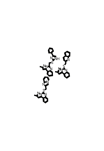 Cc1cc2c3ccccc3nc(CSc3nc(-c4ccccc4)c[nH]3)n2n1.Cc1cc2c3ccccc3nc(SCc3ccc4ccccc4n3)n2n1.Cc1cc2c3ccccc3nc(SCc3cn4ccccc4n3)n2n1